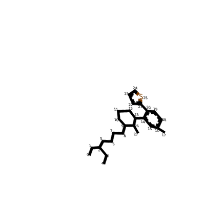 CCC(CC)CCCCC1CCCC(c2cc(C)ccc2-c2cccs2)C1C